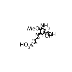 COC1=C(N)C[C@@](O)(CO)C/C1=N\CCCC(=O)O